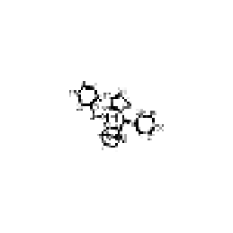 c1ccc(CNC2C3CCN(CC3)C2C(c2ccccc2)c2cccs2)cc1